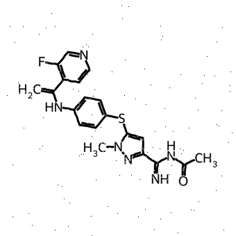 C=C(Nc1ccc(Sc2cc(C(=N)NC(C)=O)nn2C)cc1)c1ccncc1F